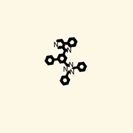 c1ccc(-c2cc(-c3nc(-c4ccccc4)nc(-c4ccccc4)n3)cc(-c3nc4ccccc4c4ccncc34)c2)cc1